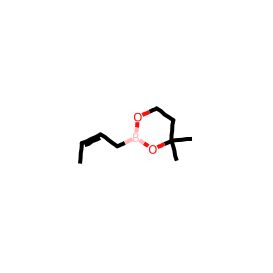 C/C=C\CB1OCCC(C)(C)O1